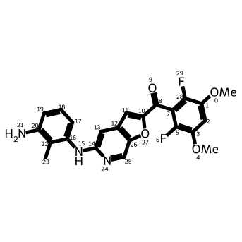 COc1cc(OC)c(F)c(C(=O)c2cc3cc(Nc4cccc(N)c4C)ncc3o2)c1F